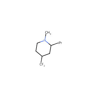 CC(C)C1CC(C(F)(F)F)CCN1C